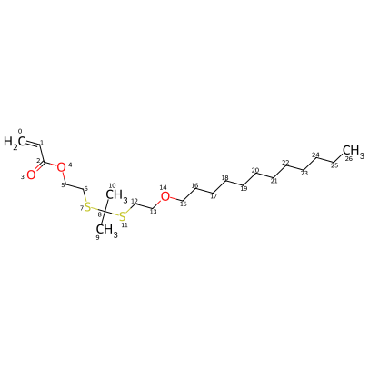 C=CC(=O)OCCSC(C)(C)SCCOCCCCCCCCCCCC